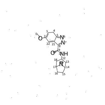 COC1=CCC2=NN=C(C(=O)NC3CC4CCC(C3)N4C)C2=C1